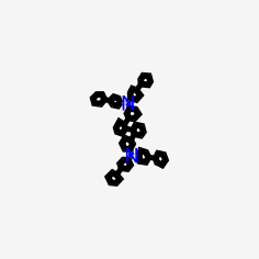 c1ccc(-c2ccc(N(c3ccc(-c4ccccc4)cc3)c3cccc(-c4ccccc4-c4ccccc4-c4cccc(N(c5ccc(-c6ccccc6)cc5)c5ccc(-c6ccccc6)cc5)c4)c3)cc2)cc1